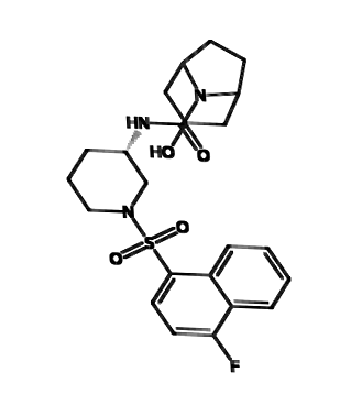 O=C(N[C@H]1CCCN(S(=O)(=O)c2ccc(F)c3ccccc23)C1)N1C2CCC1CC(O)C2